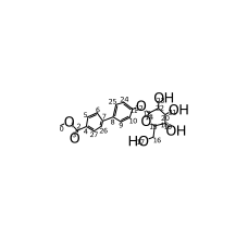 COC(=O)c1ccc(-c2ccc(OC3OC(CO)C(O)C(O)C3O)cc2)cc1